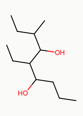 CCCC(O)C(CC)C(O)C(C)CC